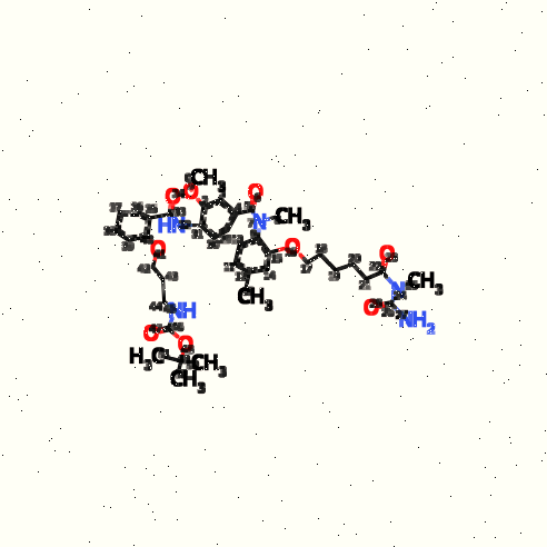 COc1cc(C(=O)N(C)c2ccc(C)cc2OCCCCCC(=O)N(C)C(N)=O)ccc1NC(=O)c1ccccc1OCCCNC(=O)OC(C)(C)C